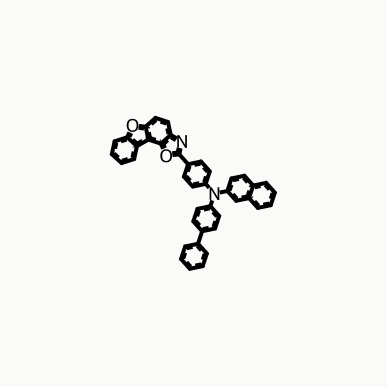 c1ccc(-c2ccc(N(c3ccc(-c4nc5ccc6oc7ccccc7c6c5o4)cc3)c3ccc4ccccc4c3)cc2)cc1